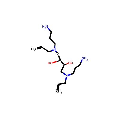 C=CCN(CCCN)CC(O)C(O)CN(CC=C)CCCN